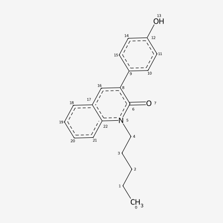 CCCCCn1c(=O)c(-c2ccc(O)cc2)cc2ccccc21